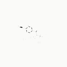 CC(C)(C)C(N)C(=O)c1cc(F)c(C#N)c(F)c1.Cl